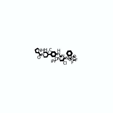 Cc1cc(Nc2ncc(Cl)c(Nc3ccccc3S(=O)(=O)C(F)F)n2)c(OC(C)C)cc1C1CCN(C(=O)C2CCCN2)CC1